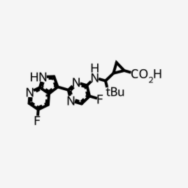 CC(C)(C)C(Nc1nc(-c2c[nH]c3ncc(F)cc23)ncc1F)C1CC1C(=O)O